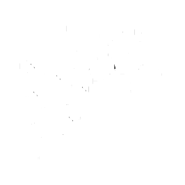 CCCCC(C)(C[C@](O)(C(=O)O)C(O)C(=O)O)Nc1nc(N)nc2cc(F)cnc12